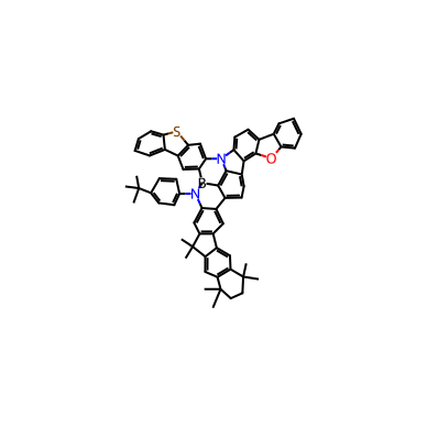 CC(C)(C)c1ccc(N2B3c4cc5c(cc4-n4c6ccc7c8ccccc8oc7c6c6ccc(c3c64)-c3cc4c(cc32)C(C)(C)c2cc3c(cc2-4)C(C)(C)CCC3(C)C)sc2ccccc25)cc1